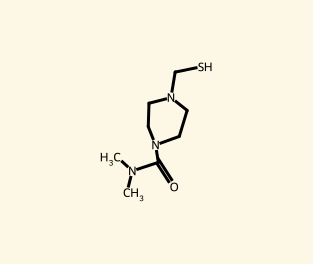 CN(C)C(=O)N1CCN(CS)CC1